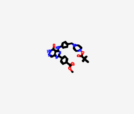 COC(=O)c1ccc(-c2nc(Nc3ccc(CN4CCN(OC(=O)C(C)(C)C)CC4)cc3)c3c(=O)[nH]ncc3n2)cc1